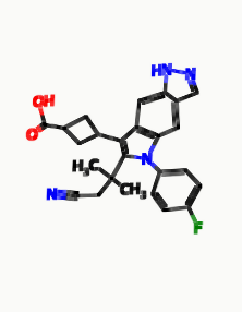 CC(C)(CC#N)c1c(C2CC(C(=O)O)C2)c2cc3[nH]ncc3cc2n1-c1ccc(F)cc1